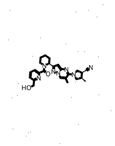 Cc1cn2nc([C@@H]3CCCCN3C(=O)c3cccc(CO)n3)cc2nc1N1C[C@@H](C#N)[C@@H](C)C1